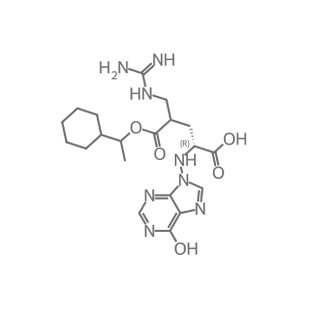 CC(OC(=O)C(CNC(=N)N)C[C@@H](Nn1cnc2c(O)ncnc21)C(=O)O)C1CCCCC1